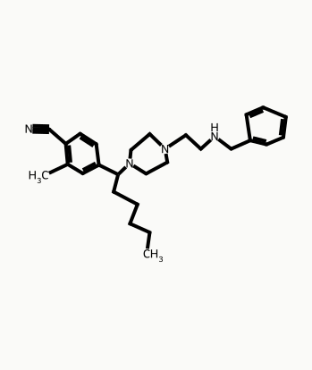 CCCCCC(c1ccc(C#N)c(C)c1)N1CCN(CCNCc2ccccc2)CC1